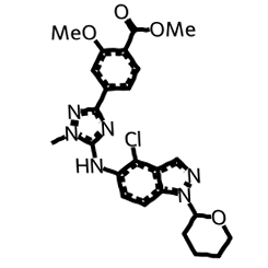 COC(=O)c1ccc(-c2nc(Nc3ccc4c(cnn4C4CCCCO4)c3Cl)n(C)n2)cc1OC